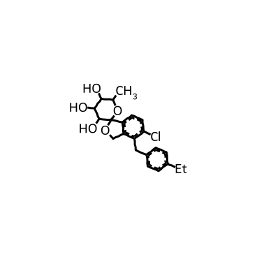 CCc1ccc(Cc2c(Cl)ccc3c2COC32OC(C)C(O)C(O)C2O)cc1